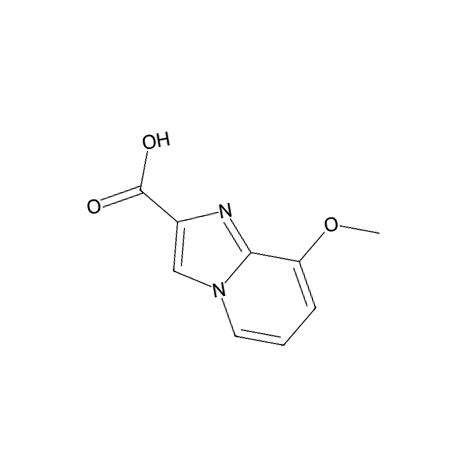 COc1cccn2cc(C(=O)O)nc12